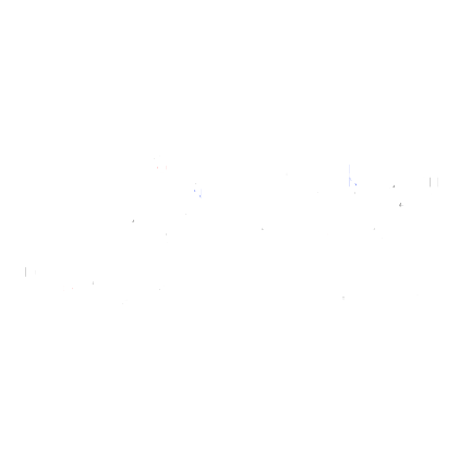 CCOc1ccc(-c2ccc(CC(=O)N[C@H](C)C3CCCCC3)c[n+]2[O-])cc1